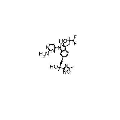 Cc1nc(C(C)(O)C#Cc2ccc3c(CC(C)(O)C(F)F)nn(-c4ccnc(N)n4)c3c2)no1